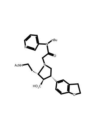 CCCCN(C(=O)CN1C[C@H](c2ccc3c(c2)CCO3)[C@@H](C(=O)O)[C@@H]1CCNC(C)=O)c1cccnc1